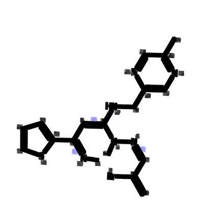 C=C(Br)/C=N\N(C)/C(=C\C(=N/C)c1cccs1)NCc1cnc(C)cn1